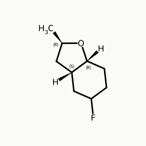 C[C@@H]1C[C@H]2CC(F)CC[C@H]2O1